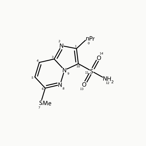 CCCc1nc2ccc(SC)nn2c1S(N)(=O)=O